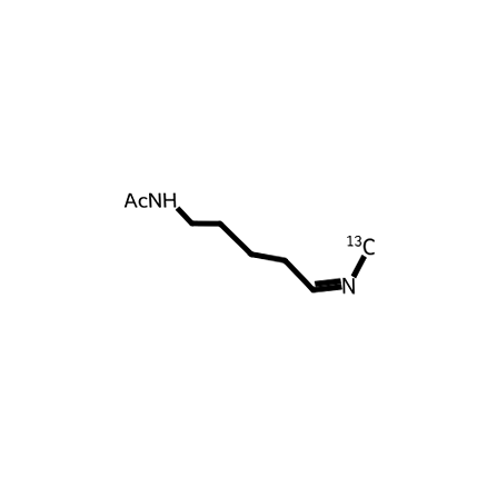 [13CH3]/N=C\CCCCNC([13CH3])=O